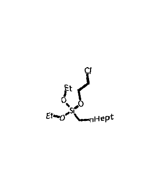 CCCCCCCC[Si](OCC)(OCC)OCCCl